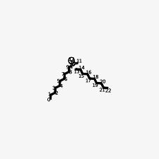 CCCCCCCCCCP(C)(=O)CCCCCCCCCC